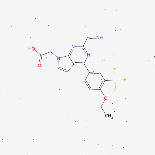 CCOc1ccc(-c2nc(C=N)nc3c2ccn3CC(=O)O)cc1C(F)(F)F